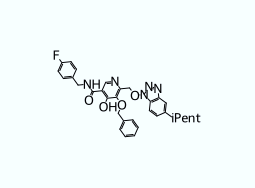 CCCC(C)c1ccc2c(c1)nnn2OCc1ncc(C(=O)NCc2ccc(F)cc2)c(O)c1OCc1ccccc1